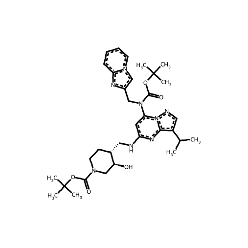 CC(C)c1cnn2c(N(Cc3cn4ccccc4n3)C(=O)OC(C)(C)C)cc(NC[C@H]3CCN(C(=O)OC(C)(C)C)C[C@@H]3O)nc12